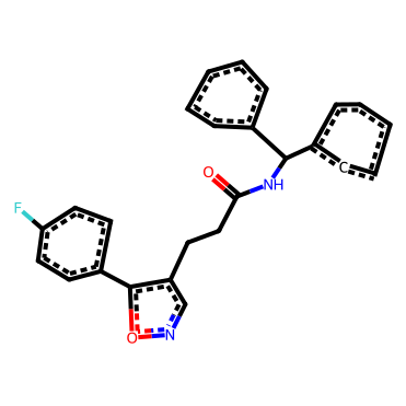 O=C(CCc1cnoc1-c1ccc(F)cc1)NC(c1ccccc1)c1ccccc1